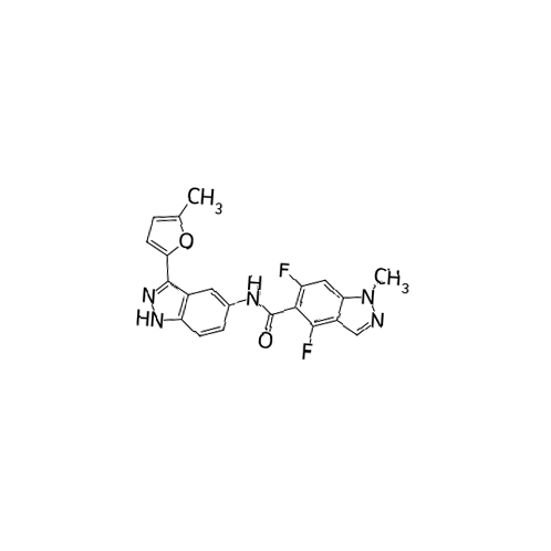 Cc1ccc(-c2n[nH]c3ccc(NC(=O)c4c(F)cc5c(cnn5C)c4F)cc23)o1